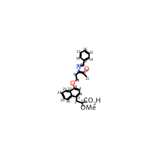 CO[C@@H](Cc1ccc(OCCc2nc(-c3ccccc3)oc2C)c2ccccc12)C(=O)O